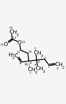 C=CCC(C)(C)[C@@](C)(C=C)CCOC(C)=O